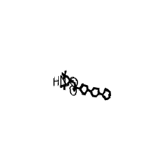 CC1(C)CC(OC(=O)C2CCC(C3CCC(C4C=CC=CC=C4)CC3)CC2)CC(C)(C)N1